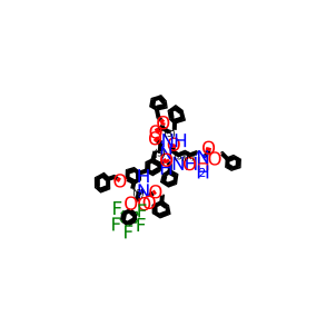 N[C@@H](C[C@@H](O)CNC(=O)OCc1ccccc1)C(=O)N[C@@H](Cc1cc(-c2ccc(OCc3ccccc3)c(C[C@H](NC(=O)OCc3ccccc3)C(=O)Oc3c(F)c(F)c(F)c(F)c3F)c2)ccc1OCc1ccccc1)C(=O)N[C@@H](Cc1ccccc1)C(=O)OCc1ccccc1